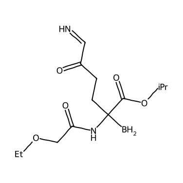 BC(CCC(=O)C=N)(NC(=O)COCC)C(=O)OC(C)C